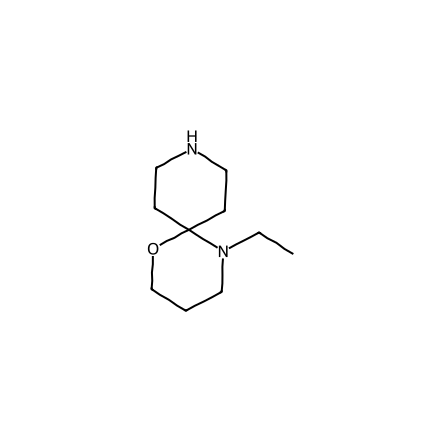 CCN1CCCOC12CCNCC2